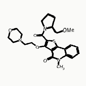 COCC1CCCN1C(=O)c1sc2c(c1OCCN1CCOCC1)c(=O)n(C)c1ccccc21